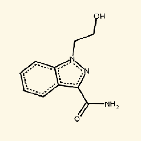 NC(=O)c1nn(CCO)c2cc[c]cc12